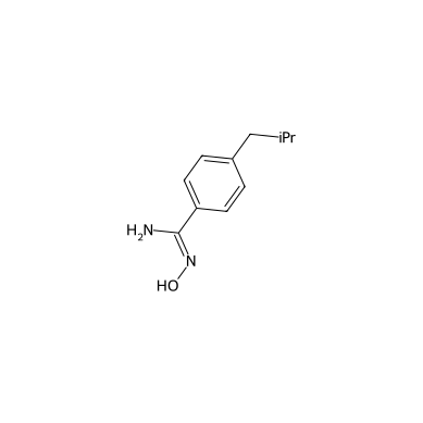 CC(C)Cc1ccc(/C(N)=N/O)cc1